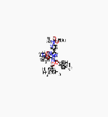 Bc1c(C2CC3CCC(C2)N3C(=O)OC(C)(C)C)nc2c(-c3ccc(N(C(=O)OC(C)(C)C)C4CC4)nc3)cnn2c1N(COCC[Si](C)(C)C)COCC[Si](C)(C)C